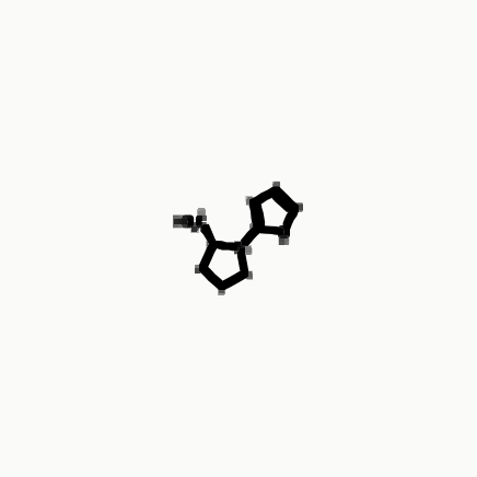 O=C(O)[C@@H]1CCCN1c1ccco1